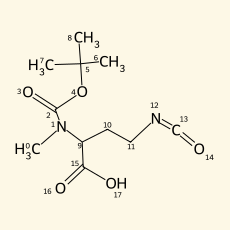 CN(C(=O)OC(C)(C)C)C(CCN=C=O)C(=O)O